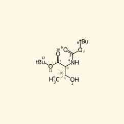 C[C@@H](O)C(NC(=O)OC(C)(C)C)C(=O)OC(C)(C)C